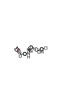 O=C(c1ccc(Nc2nc3c(N4CCC(O)(c5ccc(Cl)cc5)CC4)cccn3n2)cc1)N1CCC(C2=C\C=C\C=C/C=C\2)CC1